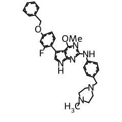 COc1nc(Nc2ccc(CN3CCN(C)CC3)cc2)nc2[nH]cc(-c3ccc(OCc4ccccc4)cc3F)c12